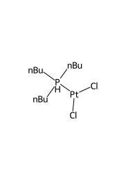 CCCC[PH](CCCC)(CCCC)[Pt]([Cl])[Cl]